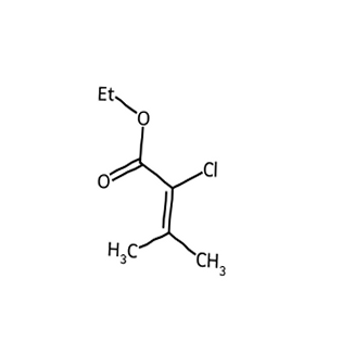 CCOC(=O)C(Cl)=C(C)C